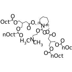 CCCCCCCCC(=O)OCC(COC(=O)CCCCCCCC)CC(=O)OC[C@H]1CCCC[C@@H](COC(=O)CC(COC(=O)CCCCCCCC)COC(=O)CCCCCCCC)N1C(=O)OCCN(C)C